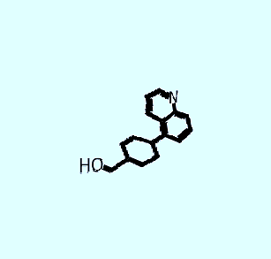 OCC1CCC(c2cccc3ncccc23)CC1